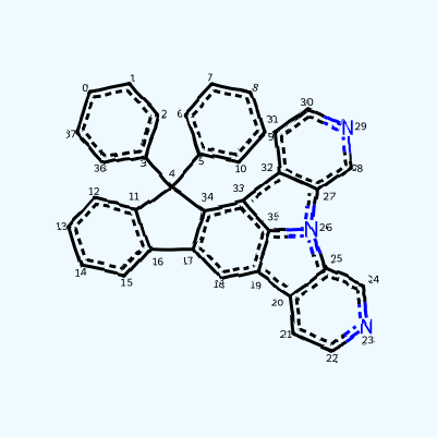 c1ccc(C2(c3ccccc3)c3ccccc3-c3cc4c5ccncc5n5c6cnccc6c(c32)c45)cc1